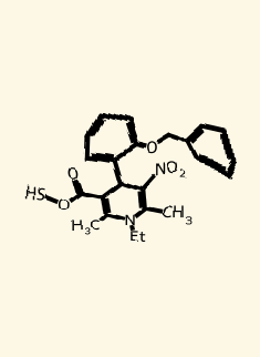 CCN1C(C)=C(C(=O)OS)C(c2ccccc2OCc2ccccc2)C([N+](=O)[O-])=C1C